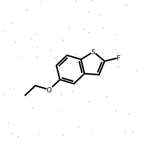 CCOc1ccc2sc(F)cc2c1